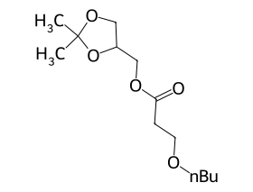 CCCCOCCC(=O)OCC1COC(C)(C)O1